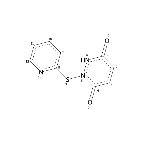 O=c1ccc(=O)n(Sc2ccccn2)[nH]1